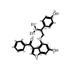 CCN(CC)C(COc1cc(O)cc2occ(C(=O)c3ccccc3)c12)c1ccc(O)cc1